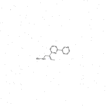 C/C=C(/CNC(C)(C)C)c1cccc(-c2cccnc2)n1